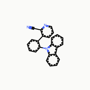 N#Cc1ncccc1-c1ccccc1-n1c2ccccc2c2ccccc21